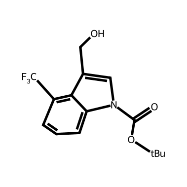 CC(C)(C)OC(=O)n1cc(CO)c2c(C(F)(F)F)cccc21